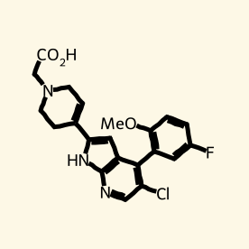 COc1ccc(F)cc1-c1c(Cl)cnc2[nH]c(C3=CCN(CC(=O)O)CC3)cc12